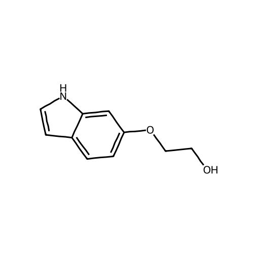 OCCOc1ccc2cc[nH]c2c1